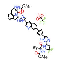 COC(=O)N[C@H]1CCc2cccc3c2N(C1=O)[C@H](c1ncc(-c2cnc4cc(-c5ccc(-c6cnc([C@@H]7CC(F)(F)CN7C(=O)[C@@H](NC(=O)OC)C(C)C)[nH]6)cc5)ccc4c2)[nH]1)C3.O=C(O)C(F)(F)F